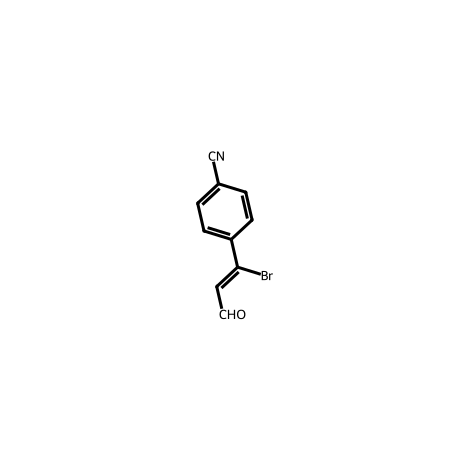 N#Cc1ccc(C(Br)=CC=O)cc1